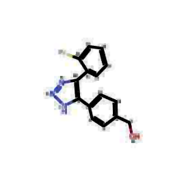 OCc1ccc(-c2[nH]nnc2-c2ccccc2F)cc1